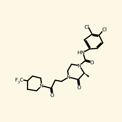 C[C@H]1C(=O)N(CCC(=O)N2CCC(C(F)(F)F)CC2)CCN1C(=O)Nc1ccc(Cl)c(Cl)c1